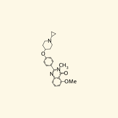 COc1cccc2nc(-c3ccc(OC4CCN(C5CC5)CC4)cc3)n(C)c(=O)c12